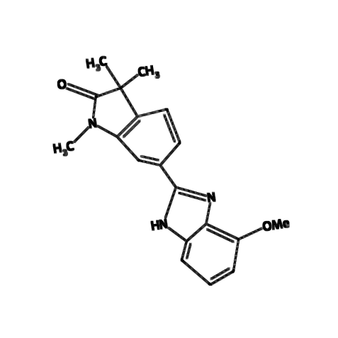 COc1cccc2[nH]c(-c3ccc4c(c3)N(C)C(=O)C4(C)C)nc12